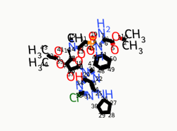 CC(C)OC(=O)[C@H](N)NP(=O)(CC(=O)N(C)C[C@H]1O[C@@H](n2cnc3c(NC4CCCC4)nc(Cl)nc32)[C@H](O)[C@@H]1OC(=O)C(C)C)Oc1ccccc1